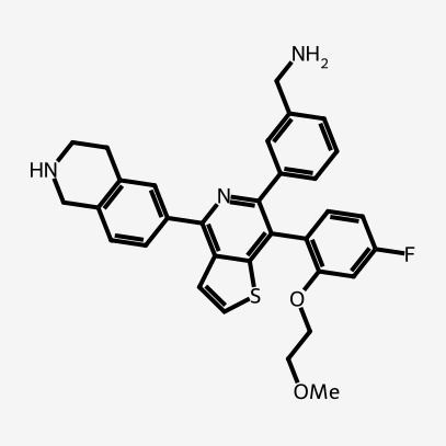 COCCOc1cc(F)ccc1-c1c(-c2cccc(CN)c2)nc(-c2ccc3c(c2)CCNC3)c2ccsc12